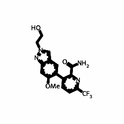 COc1cc2nn(CCO)cc2cc1-c1ccc(C(F)(F)F)nc1C(N)=O